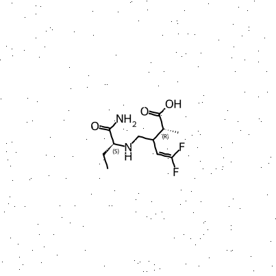 CC[C@H](NCC(C=C(F)F)[C@@H](C)C(=O)O)C(N)=O